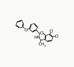 CC(NCc1cccc(Oc2ccccc2)c1)c1ccc(Cl)c(Cl)c1Cl